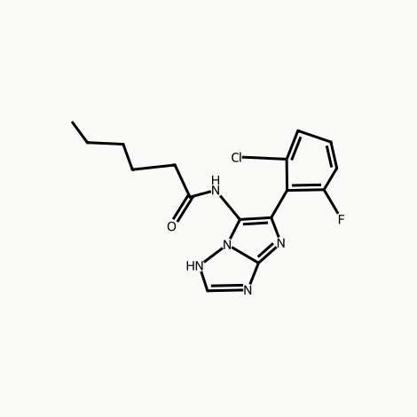 CCCCCC(=O)Nc1c(-c2c(F)cccc2Cl)nc2nc[nH]n12